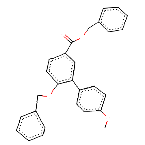 COc1ccc(-c2cc(C(=O)OCc3ccccc3)ccc2OCc2ccccc2)cc1